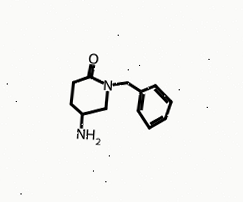 NC1CCC(=O)N(Cc2ccccc2)C1